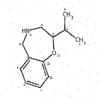 CC(C)C1CNCc2ccccc2O1